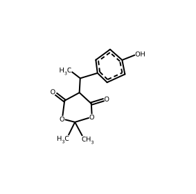 CC(c1ccc(O)cc1)C1C(=O)OC(C)(C)OC1=O